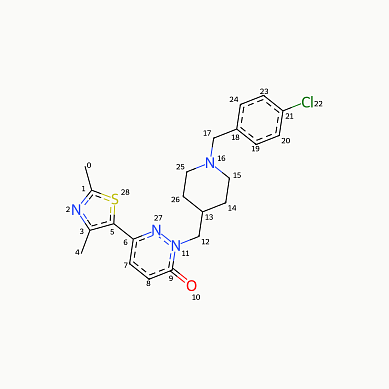 Cc1nc(C)c(-c2ccc(=O)n(CC3CCN(Cc4ccc(Cl)cc4)CC3)n2)s1